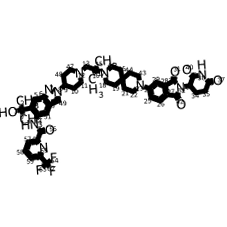 CC(C)(O)c1cc2nn(C3CCN(CC(C)(C)N4CCC5(CCN(c6ccc7c(c6)C(=O)N(C6CCC(=O)NC6=O)C7=O)CC5)CC4)CC3)cc2cc1NC(=O)c1cccc(C(F)(F)F)n1